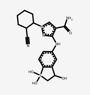 N#CC1CCCCC1n1cc(C(N)=O)c(Nc2ccc3c(c2)C(O)CS3(O)O)n1